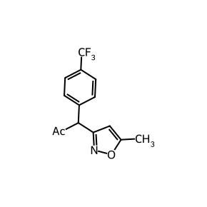 CC(=O)C(c1ccc(C(F)(F)F)cc1)c1cc(C)on1